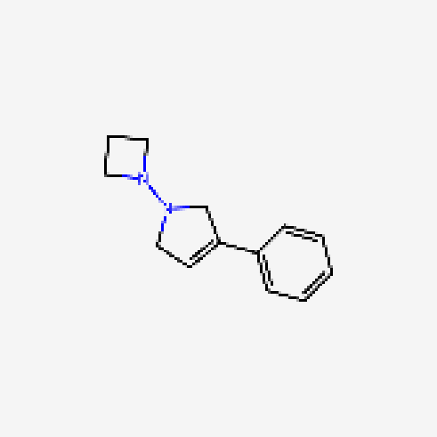 C1=C(c2ccccc2)CN(N2CCC2)C1